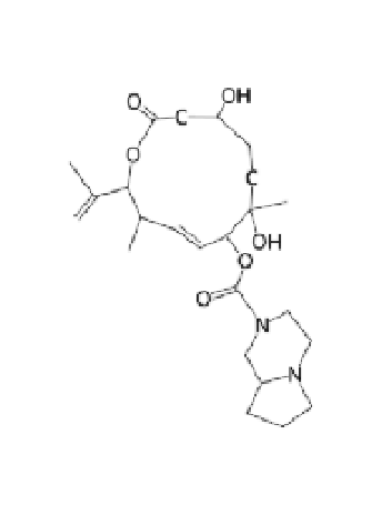 C=C(C)C1OC(=O)CC(O)CCC(C)(O)C(OC(=O)N2CCN3CCCC3C2)/C=C/C1C